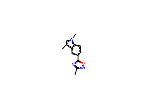 Cc1noc(-c2ccc3c(c2)c(C)cn3C)n1